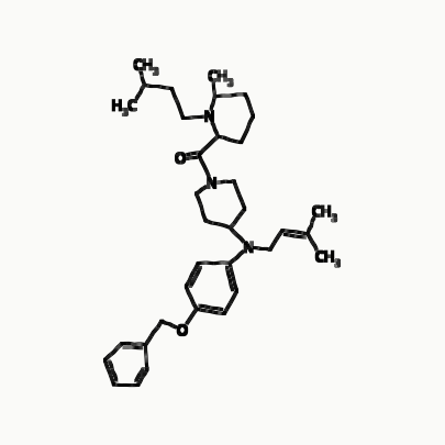 CC(C)=CCN(c1ccc(OCc2ccccc2)cc1)C1CCN(C(=O)C2CCCC(C)N2CCC(C)C)CC1